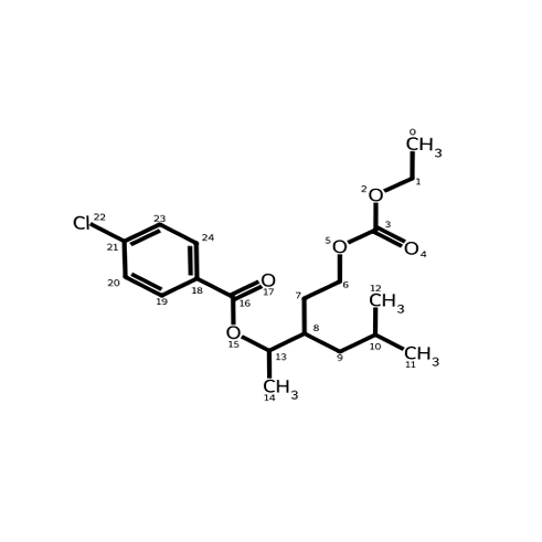 CCOC(=O)OCCC(CC(C)C)C(C)OC(=O)c1ccc(Cl)cc1